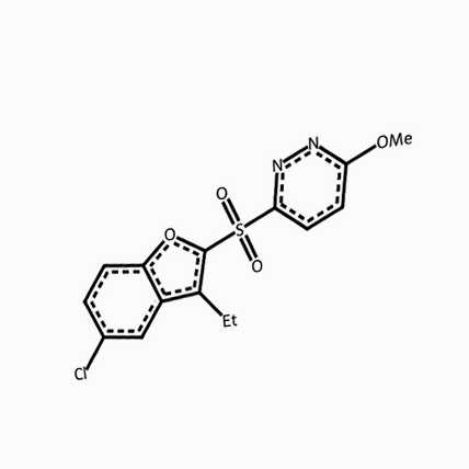 CCc1c(S(=O)(=O)c2ccc(OC)nn2)oc2ccc(Cl)cc12